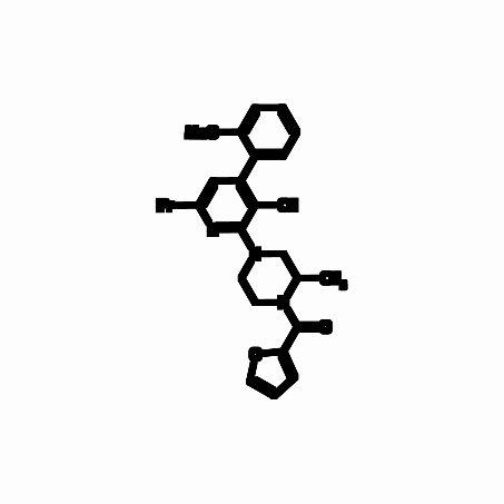 COc1ccccc1-c1cc(C(C)C)nc(N2CCN(C(=O)c3ccco3)C(C)C2)c1C#N